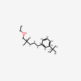 CCOCC(C)(C)CCCc1cccc(C(C)(C)C)c1